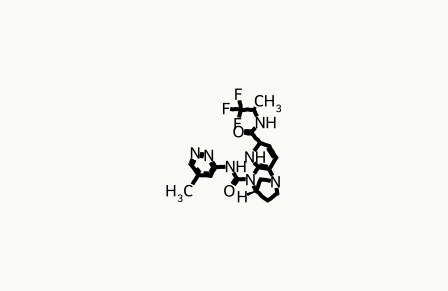 Cc1cnnc(NC(=O)N2C3=C(C=CC(C(=O)N[C@H](C)C(F)(F)F)N3)N3CC[C@H]2C3)c1